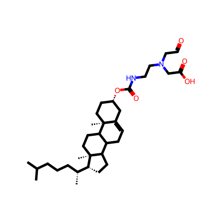 CC(C)CCC[C@@H](C)[C@H]1CCC2C3CC=C4C[C@@H](OC(=O)NCCN(CC=O)CC(=O)O)CC[C@]4(C)C3CC[C@@]21C